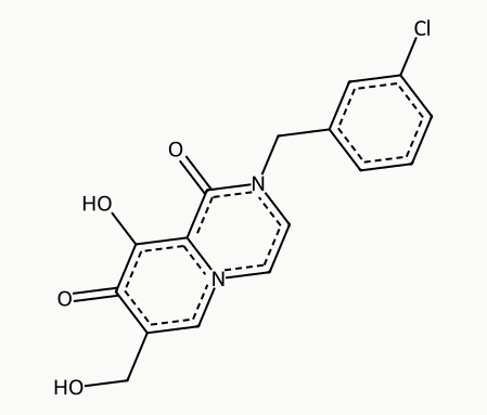 O=c1c(CO)cn2ccn(Cc3cccc(Cl)c3)c(=O)c2c1O